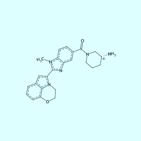 Cn1c(-c2cc3cccc4c3n2CCO4)nc2cc(C(=O)N3CCC[C@@H](N)C3)ccc21